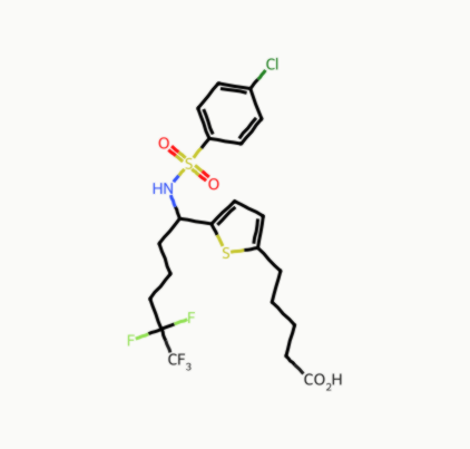 O=C(O)CCCCc1ccc(C(CCCC(F)(F)C(F)(F)F)NS(=O)(=O)c2ccc(Cl)cc2)s1